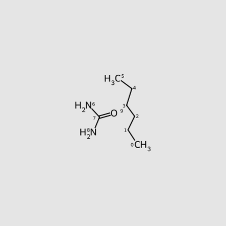 CCCCCC.NC(N)=O